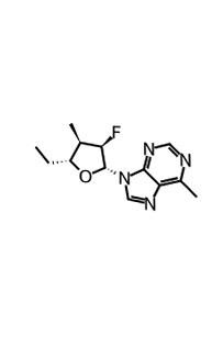 CC[C@H]1O[C@@H](n2cnc3c(C)ncnc32)[C@H](F)[C@@H]1C